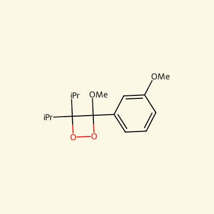 COc1cccc(C2(OC)OOC2(C(C)C)C(C)C)c1